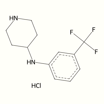 Cl.FC(F)(F)c1cccc(NC2CCNCC2)c1